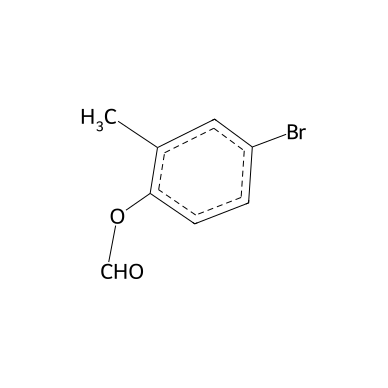 Cc1cc(Br)ccc1OC=O